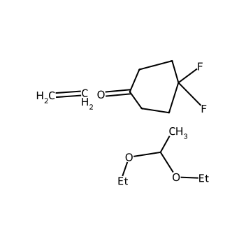 C=C.CCOC(C)OCC.O=C1CCC(F)(F)CC1